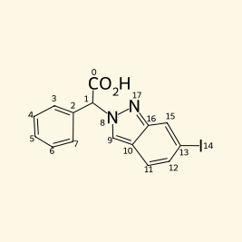 O=C(O)C(c1ccccc1)n1cc2ccc(I)cc2n1